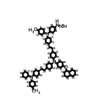 CCCCNc1ccc(N(c2ccc(C)cc2)c2ccc(/C=C/c3ccc(N(c4ccc(/C=C/c5ccc(N(c6ccccc6)c6ccc(C)cc6)cc5)cc4)c4ccc(Oc5cccc6ccccc56)cc4)cc3)cc2)cc1